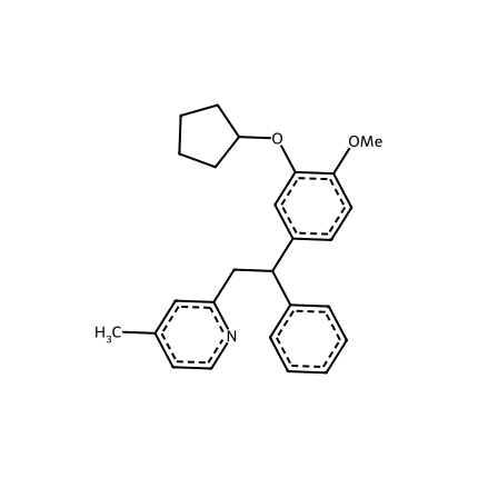 COc1ccc(C(Cc2cc(C)ccn2)c2ccccc2)cc1OC1CCCC1